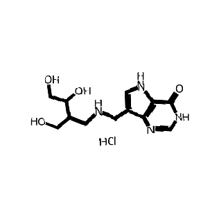 Cl.O=c1[nH]cnc2c(CNCC(CO)C(O)CO)c[nH]c12